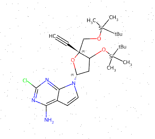 C#C[C@]1(CO[Si](C)(C)C(C)(C)C)O[C@@H](n2ccc3c(N)nc(Cl)nc32)CC1O[Si](C)(C)C(C)(C)C